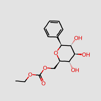 CCOC(=O)OC[C@H]1O[C@@H](c2ccccc2)[C@H](O)[C@@H](O)[C@@H]1O